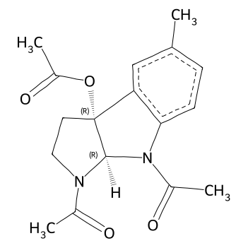 CC(=O)O[C@@]12CCN(C(C)=O)[C@@H]1N(C(C)=O)c1ccc(C)cc12